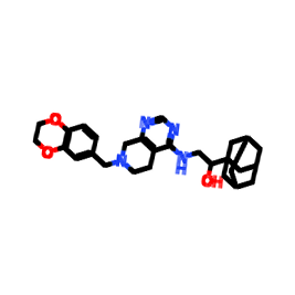 OC(CNc1ncnc2c1CCN(Cc1ccc3c(c1)OCCO3)C2)C12CC3CC(CC(C3)C1)C2